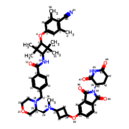 Cc1cc(OC2C(C)(C)C(NC(=O)c3ccc(CN4CCOC[C@@H]4CN(C)C4CC(Oc5ccc6c(c5)C(=O)N([C@H]5CCC(=O)NC5=O)C6=O)C4)cc3)C2(C)C)cc(C)c1C#N